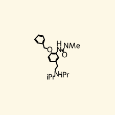 CNC(=O)Nc1cc(CCN(C(C)C)C(C)C)ccc1OCc1ccccc1